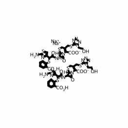 Nc1nc(C(Sc2ccccc2C(=O)O)C(=O)NC2C(=O)N3C(C(=O)[O-])=C(CSc4nnnn4CCO)CS[C@@H]23)cs1.Nc1nc(C(Sc2ccccc2C(=O)O)C(=O)NC2C(=O)N3C(C(=O)[O-])=C(CSc4nnnn4CCO)CS[C@@H]23)cs1.[Na+].[Na+]